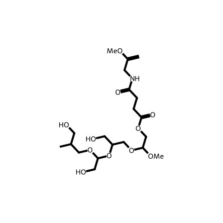 C=C(CNC(=O)CCC(=O)OCC(OC)OCC(CO)OC(CO)OCC(C)CO)OC